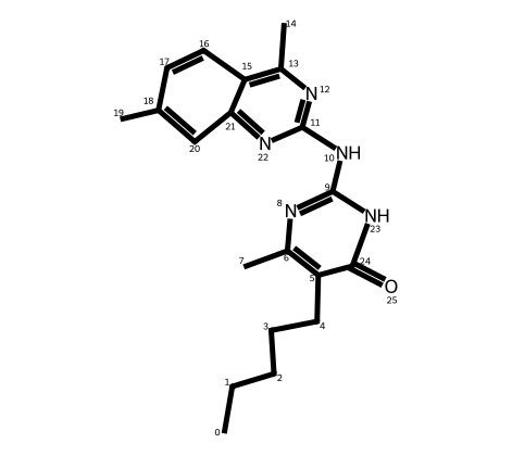 CCCCCc1c(C)nc(Nc2nc(C)c3ccc(C)cc3n2)[nH]c1=O